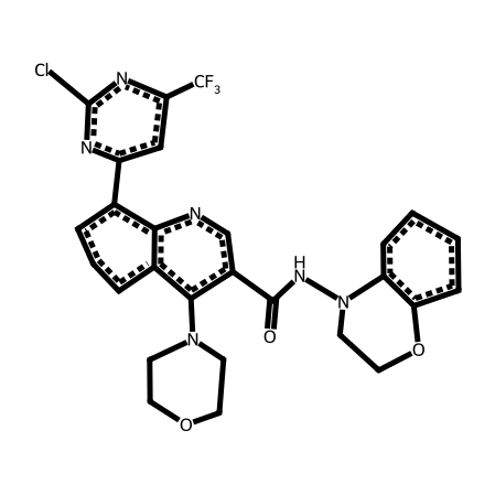 O=C(NN1CCOc2ccccc21)c1cnc2c(-c3cc(C(F)(F)F)nc(Cl)n3)cccc2c1N1CCOCC1